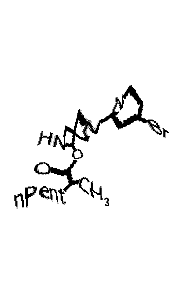 CCCCCC(C)C(=O)OC1NCC12CN(c1cc(Br)ccn1)C2